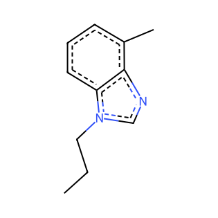 CCCn1cnc2c(C)cccc21